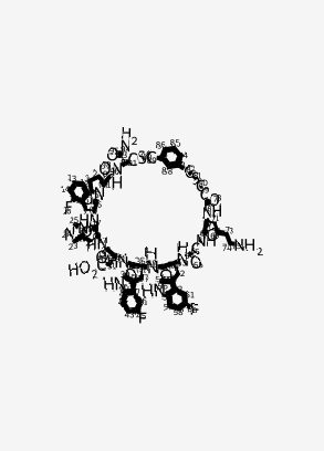 C[C@@]12CCCN1C(=O)[C@H](Cc1ccccc1F)NC(=O)[C@H](Cc1cnc[nH]1)NC(=O)[C@H](CC(=O)O)NC(=O)[C@H](Cc1c[nH]c3ccc(F)cc13)NC(=O)[C@H](Cc1c[nH]c3ccc(F)cc13)NC(=O)CNC(=O)[C@H](CCCCN)NC(=O)CCSCc1cccc(c1)CSC[C@@H](C(N)=O)NC2=O